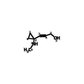 CNC1(C#CCO)CC1